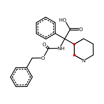 O=C(NC(C(=O)O)(c1ccccc1)C1CN2CCC1CC2)OCc1ccccc1